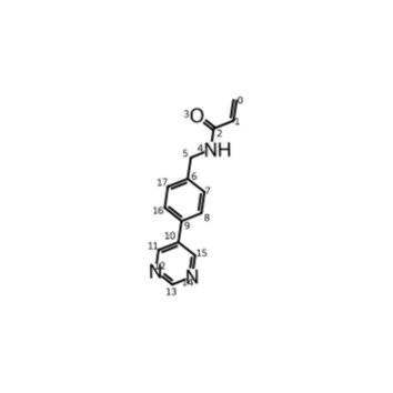 C=CC(=O)NCc1ccc(-c2cncnc2)cc1